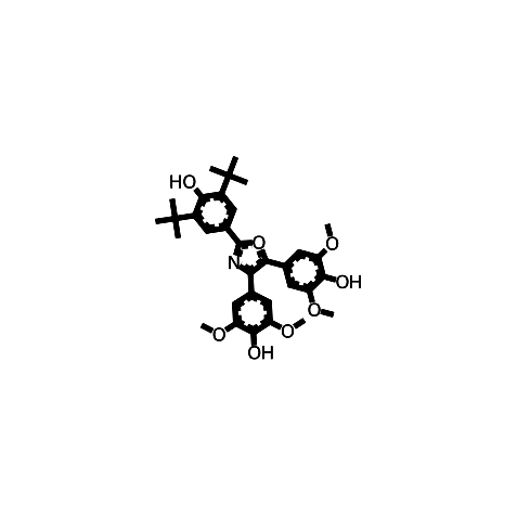 COc1cc(-c2nc(-c3cc(C(C)(C)C)c(O)c(C(C)(C)C)c3)oc2-c2cc(OC)c(O)c(OC)c2)cc(OC)c1O